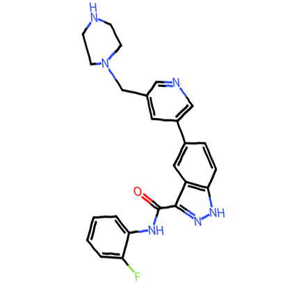 O=C(Nc1ccccc1F)c1n[nH]c2ccc(-c3cncc(CN4CCNCC4)c3)cc12